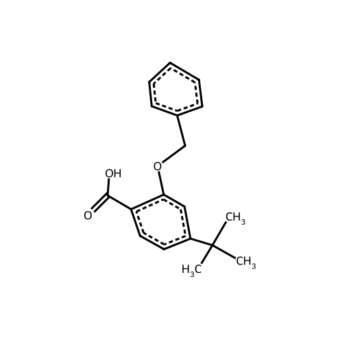 CC(C)(C)c1ccc(C(=O)O)c(OCc2ccccc2)c1